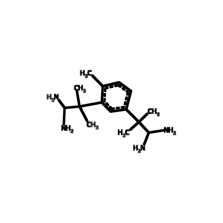 Cc1ccc(C(C)(C)C(N)N)cc1C(C)(C)C(N)N